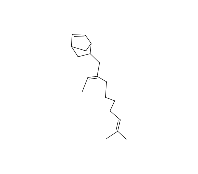 CC=C(CCCCC=C(C)C)CC1CC2C=CC1C2